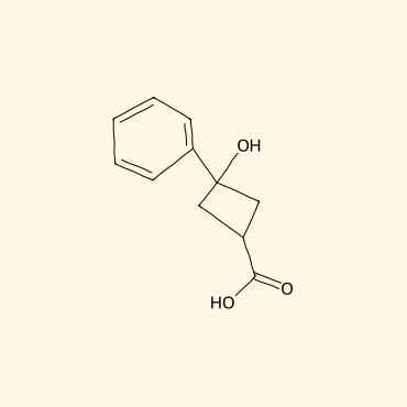 O=C(O)C1CC(O)(c2ccccc2)C1